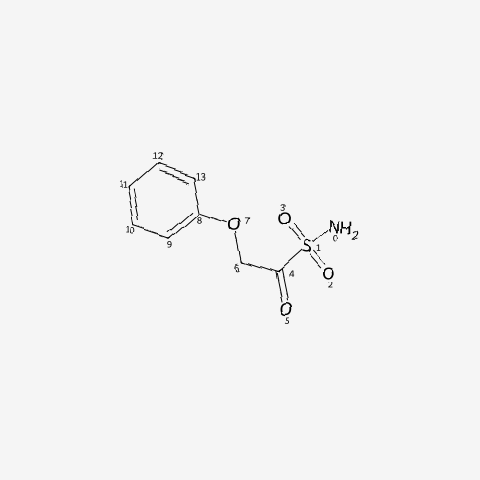 NS(=O)(=O)C(=O)COc1ccccc1